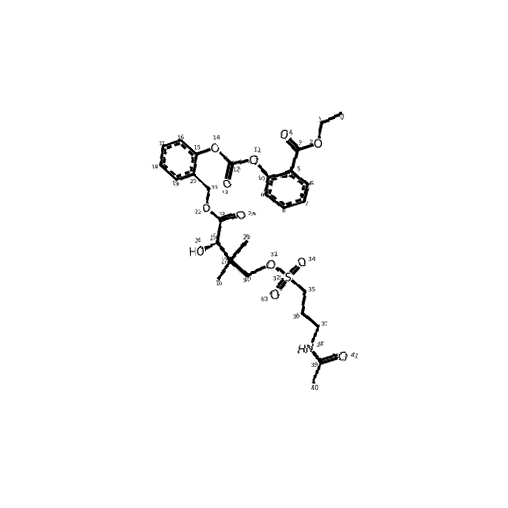 CCOC(=O)c1ccccc1OC(=O)Oc1ccccc1COC(=O)[C@H](O)C(C)(C)COS(=O)(=O)CCCNC(C)=O